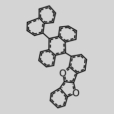 c1ccc2c(-c3c4ccccc4c(-c4cccc5c4oc4c6ccccc6oc54)c4ccccc34)cccc2c1